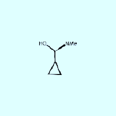 CN[C@H](O)C1CC1